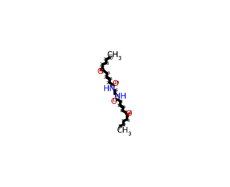 CCCCCC1OC1C/C=C/CC(=O)NCCNC(=O)C/C=C/CC1OC1CCCCC